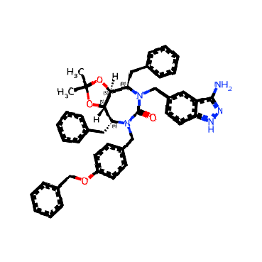 CC1(C)O[C@@H]2[C@@H](O1)[C@@H](Cc1ccccc1)N(Cc1ccc3[nH]nc(N)c3c1)C(=O)N(Cc1ccc(OCc3ccccc3)cc1)[C@@H]2Cc1ccccc1